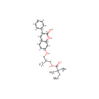 CC(C)(C)CC(C)(C(=O)OCC(COc1ccc2cc(-c3ccccc3)c(=O)oc2c1)C(F)(F)F)C(C)(C)C